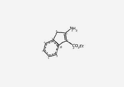 CCOC(=O)C1=C(N)Cc2ccccc21